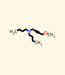 CCCCN(CC#CCOC)CCCC